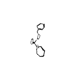 O=C(OCc1ccccc1)N1C=CCCCC1